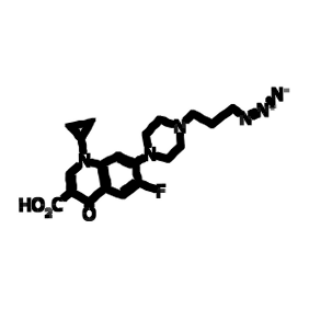 [N-]=[N+]=NCCCN1CCN(c2cc3c(cc2F)c(=O)c(C(=O)O)cn3C2CC2)CC1